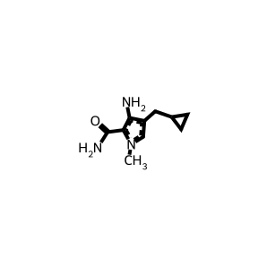 Cn1cc(CC2CC2)c(N)c1C(N)=O